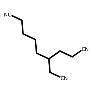 N#CCCCCC(CC#N)CCC#N